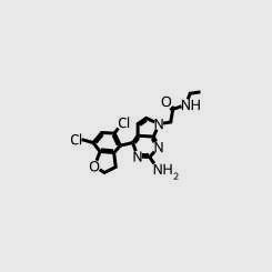 CCNC(=O)Cn1ccc2c(-c3c(Cl)cc(Cl)c4c3CCO4)nc(N)nc21